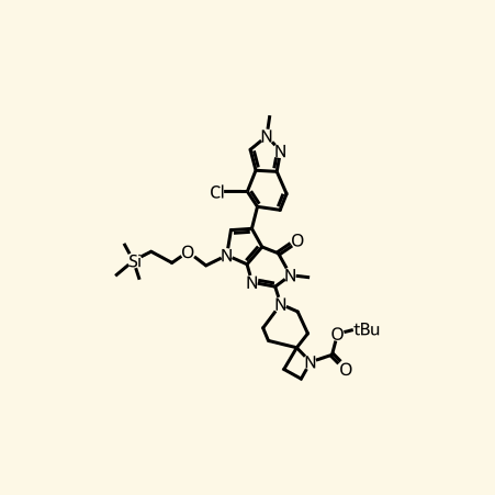 Cn1cc2c(Cl)c(-c3cn(COCC[Si](C)(C)C)c4nc(N5CCC6(CC5)CCN6C(=O)OC(C)(C)C)n(C)c(=O)c34)ccc2n1